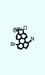 N#Cc1ccc2ccc(Br)c3c4ccc5c6c(ccc(c1c23)c64)C(=O)NC5=O